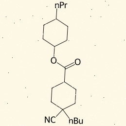 CCCCC1(C#N)CCC(C(=O)OC2CCC(CCC)CC2)CC1